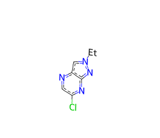 CCn1cc2ncc(Cl)nc2n1